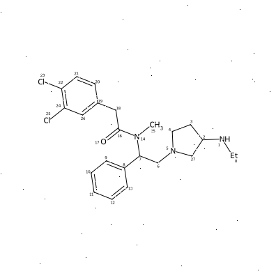 CCNC1CCN(CC(c2ccccc2)N(C)C(=O)Cc2ccc(Cl)c(Cl)c2)C1